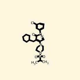 CC(C)S(=O)(=O)N1CCN(c2cnn(-c3cccc(Cl)c3)c(=O)c2CC2CCCCC2)CC1